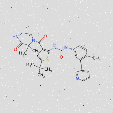 Cc1ccc(NC(=O)Nc2sc(C(C)(C)C)cc2C(=O)N2CCNC(=O)C2(C)C)cc1-c1cccnc1